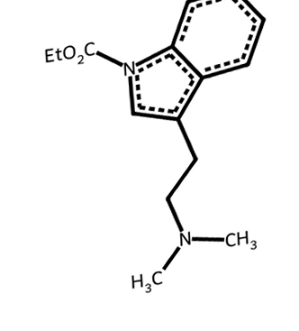 CCOC(=O)n1cc(CCN(C)C)c2ccccc21